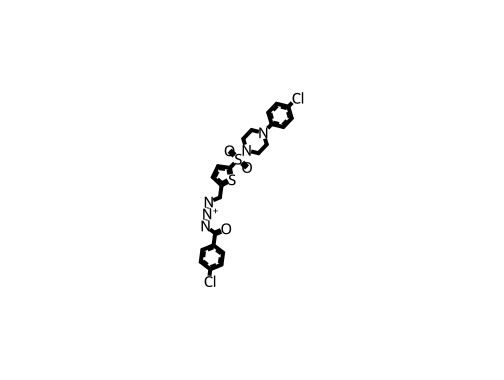 O=C(N=[N+]=NCc1ccc(S(=O)(=O)N2CCN(c3ccc(Cl)cc3)CC2)s1)c1ccc(Cl)cc1